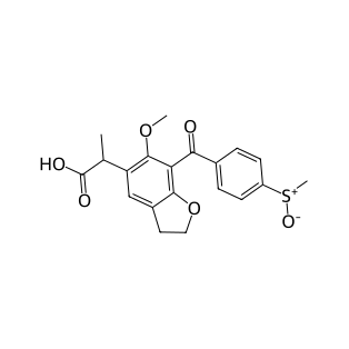 COc1c(C(C)C(=O)O)cc2c(c1C(=O)c1ccc([S+](C)[O-])cc1)OCC2